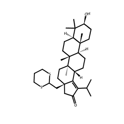 CC(C)C1=C2[C@H]3CC[C@@H]4[C@@]5(C)CC[C@H](O)C(C)(C)[C@@H]5CC[C@@]4(C)[C@]3(C)CC[C@@]2(CC2SCCCS2)CC1=O